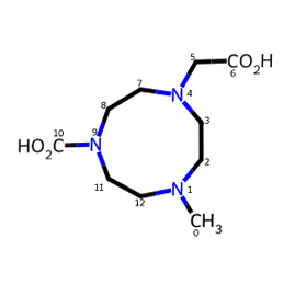 CN1CCN(CC(=O)O)CCN(C(=O)O)CC1